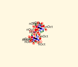 CCCCCCCCS(=O)(=O)N(F)C(N(F)S(=O)(=O)CCCCCCCC)(N(F)S(=O)(=O)CCCCCCCC)C(OOP(=O)(O)OOC(N(F)S(=O)(=O)CCCCCCCC)(C(N(F)S(=O)(=O)CCCCCCCC)(N(F)S(=O)(=O)CCCCCCCC)N(F)S(=O)(=O)CCCCCCCC)[N+](C)(F)S(=O)(=O)CCCCCCCC)(N(F)S(=O)(=O)CCCCCCCC)[N+](C)(F)S(=O)(=O)CCCCCCCC